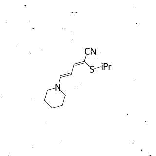 CC(C)SC(C#N)=CC=CN1CCCCC1